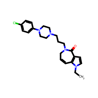 CCn1ccc2c1C=CCN(CCCN1CCN(c3ccc(Cl)cc3)CC1)C2=O